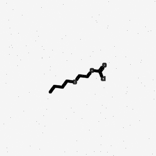 CCCCOCCOC(=O)Cl